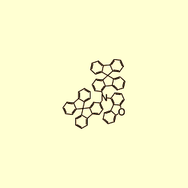 c1ccc2c(c1)-c1ccccc1C21c2ccccc2-c2ccc(N(c3cccc4c3-c3ccccc3C43c4ccccc4-c4ccccc43)c3cccc4oc5ccccc5c34)cc21